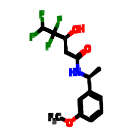 C[C@H](NC(=O)C[C@H](O)C(F)(F)C(F)F)c1cccc(OC(F)(F)F)c1